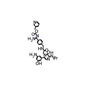 CC(C)Nc1ncc(-c2cc(N)cc(O)c2)n(CC(=O)NCc2ccc(/C(N)=N/C(=O)OCc3cccnc3)cc2)c1=O